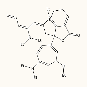 C=C/C=C(\C=C(/CC1(C2=CC(OCC)C=C(N(CC)CC)C=C2)OC(=O)C2=CCCN=C21)OCC)N(CC)CC